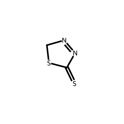 S=C1N=NCS1